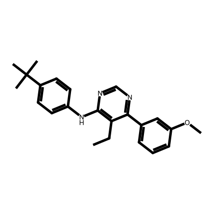 CCc1c(Nc2ccc(C(C)(C)C)cc2)ncnc1-c1cccc(OC)c1